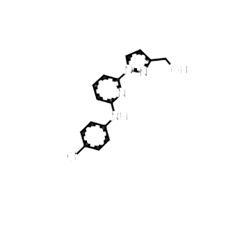 OCc1ccn(-c2cccc(Nc3ccc(Cl)cc3)n2)n1